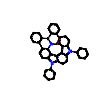 c1ccc(-n2c3ccccc3c3c4c5c6c(ccc5n(-c5ccccc5)c4ccc32)-c2ccccc2B2c3ccccc3-c3ccccc3N26)cc1